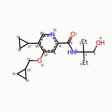 CCC(CC)(CO)NC(=O)c1cc(OCC2CC2)c(C2CC2)cn1